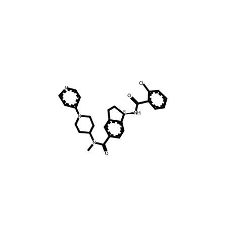 CN(C(=O)c1ccc2c(c1)CC[C@H]2NC(=O)c1ccccc1Cl)C1CCN(c2ccncc2)CC1